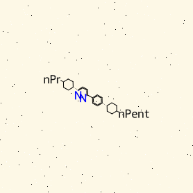 CCCCC[C@H]1CC[C@H](c2ccc(-c3ccc([C@H]4CC[C@H](CCC)CC4)nn3)cc2)CC1